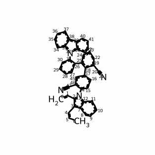 C=Cc1c(/C=C\C)c2ccccc2n1-c1ccc(-c2c(C#N)cccc2-c2ccccc2-n2c3ccccc3c3ccccc32)cc1C#N